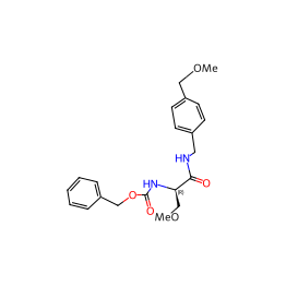 COCc1ccc(CNC(=O)[C@@H](COC)NC(=O)OCc2ccccc2)cc1